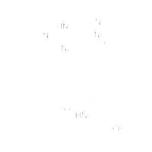 CCCNS(=O)(=O)c1ccc(-c2nc(Nc3cnn(C)c3)ncc2C)cc1